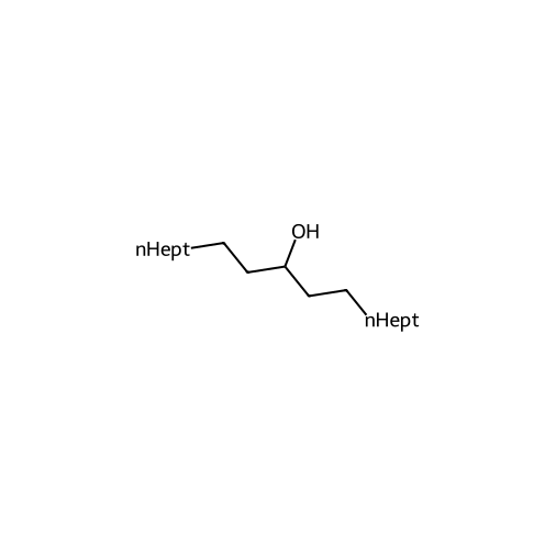 CCCCCCCCCC(O)CCCCCCCCC